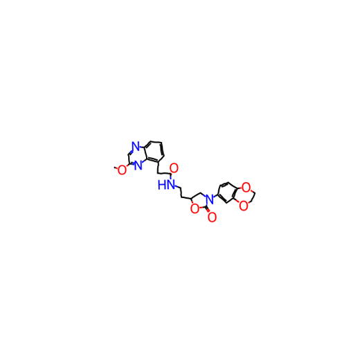 COc1cnc2cccc(CC(=O)NCCC3CN(c4ccc5c(c4)OCCO5)C(=O)O3)c2n1